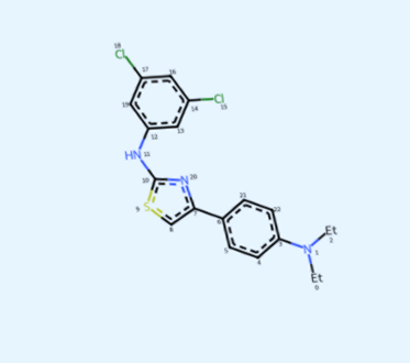 CCN(CC)c1ccc(-c2csc(Nc3cc(Cl)cc(Cl)c3)n2)cc1